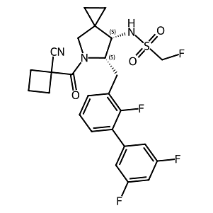 N#CC1(C(=O)N2CC3(CC3)[C@H](NS(=O)(=O)CF)[C@@H]2Cc2cccc(-c3cc(F)cc(F)c3)c2F)CCC1